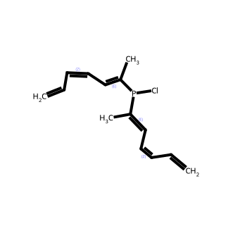 C=C/C=C\C=C(/C)P(Cl)/C(C)=C/C=C\C=C